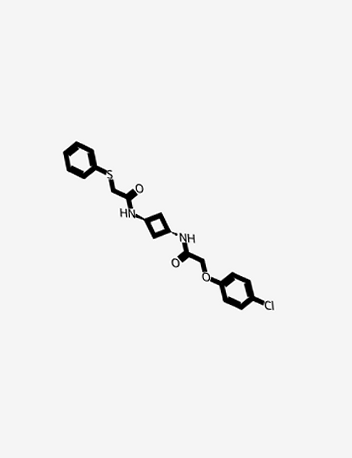 O=C(COc1ccc(Cl)cc1)N[C@H]1C[C@H](NC(=O)CSc2ccccc2)C1